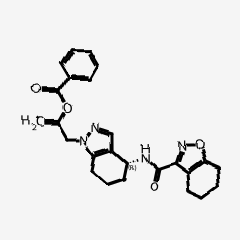 C=C(Cn1ncc2c1CCC[C@H]2NC(=O)c1noc2c1CCCC2)OC(=O)c1ccccc1